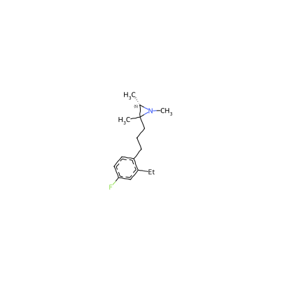 CCc1cc(F)ccc1CCCC1(C)[C@H](C)N1C